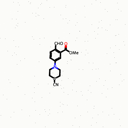 COC(=O)c1cc(N2CCB(C#N)CC2)ccc1C=O